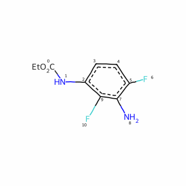 CCOC(=O)Nc1ccc(F)c(N)c1F